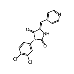 O=C1N/C(=C\c2ccncc2)C(=O)N1c1ccc(Cl)c(Cl)c1